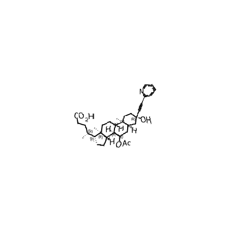 CC(=O)O[C@@H]1C[C@@H]2C[C@@](O)(C#Cc3ccccn3)CC[C@]2(C)[C@H]2CC[C@]3(C)[C@@H]([C@H](C)CCC(=O)O)CC[C@H]3[C@H]12